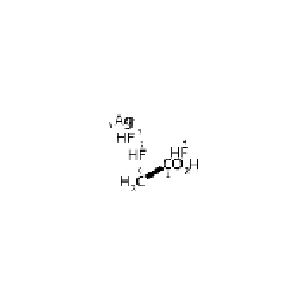 CC(=O)O.F.F.F.[Ag]